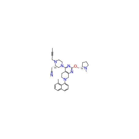 CC#CCN1CCN(c2nc(OC[C@@H]3CCCN3C)nc3c2CCN(c2cccc4cccc(C)c24)C3)C[C@@H]1CC#N